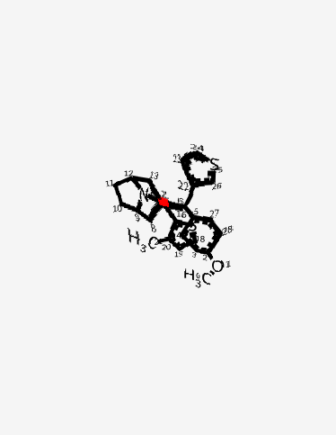 COc1ccc(C(=C2CC3CCC(C2)N3Cc2sccc2C)c2ccsc2)cc1